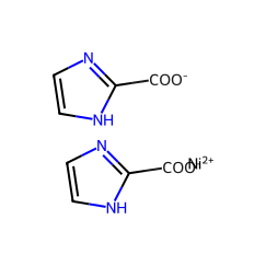 O=C([O-])c1ncc[nH]1.O=C([O-])c1ncc[nH]1.[Ni+2]